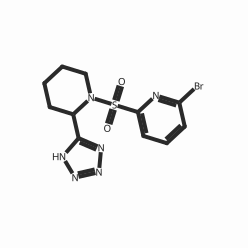 O=S(=O)(c1cccc(Br)n1)N1CCCCC1c1nnn[nH]1